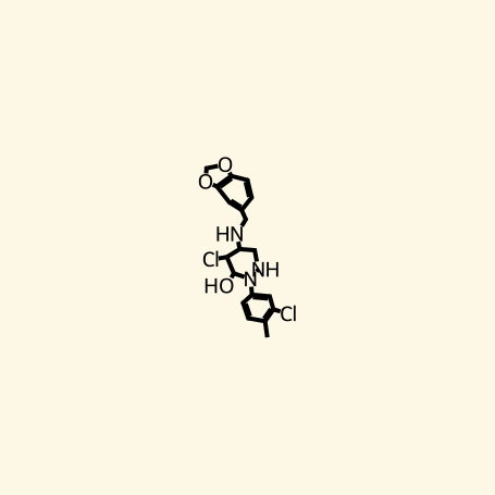 Cc1ccc(N2NCC(NCc3ccc4c(c3)OCO4)C(Cl)C2O)cc1Cl